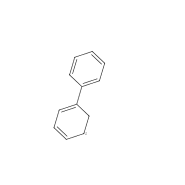 [C]1C=CC=C(c2ccccc2)C1